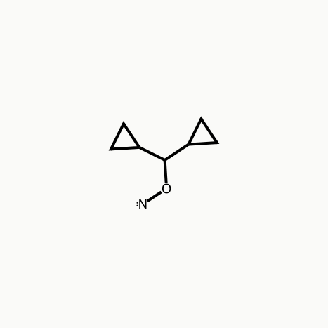 [N]OC(C1CC1)C1CC1